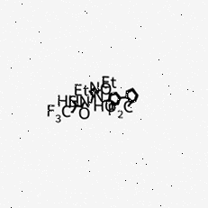 CCOc1nc(CC)c(CNC(=O)C(S)CC(F)(F)F)n1Cc1ccc(-c2ccccc2C(=O)O)cc1F